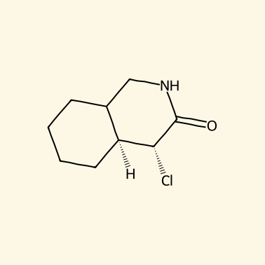 O=C1NCC2CCCC[C@@H]2[C@H]1Cl